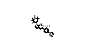 CC1(C)C[C@H](n2ccc3cc(-c4ccc(-n5ccnn5)cc4O)nnc32)[C@H](F)C(C)(C)N1